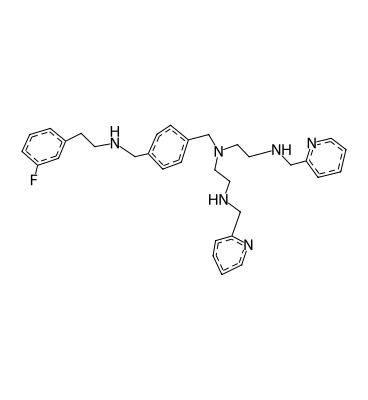 Fc1cccc(CCNCc2ccc(CN(CCNCc3ccccn3)CCNCc3ccccn3)cc2)c1